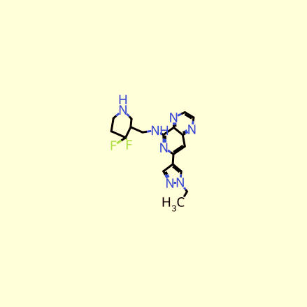 CCn1cc(-c2cc3nccnc3c(NCC3CNCCC3(F)F)n2)cn1